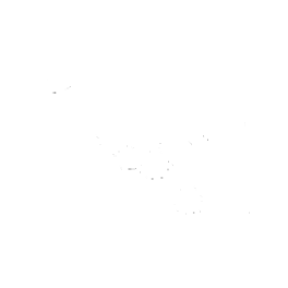 COc1cccc(-c2cn3cc(C=CCCOS(C)(=O)=O)cc3c(=O)n2CC(=O)NC(C)C)c1